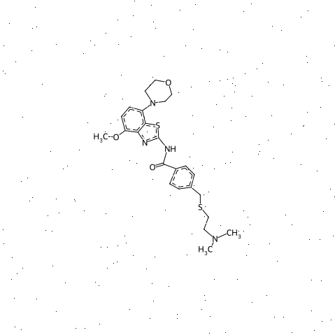 COc1ccc(N2CCOCC2)c2sc(NC(=O)c3ccc(CSCCN(C)C)cc3)nc12